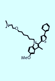 COc1ccc2c(c1)c(C)c(-c1cc(-c3ccccc3)cs1)n2CCCCCCOCCN(C)C